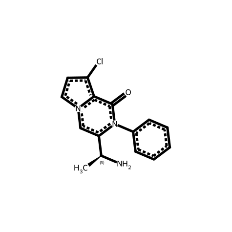 C[C@H](N)c1cn2ccc(Cl)c2c(=O)n1-c1ccccc1